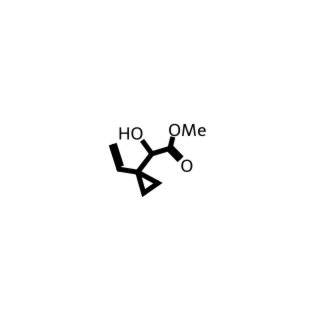 C=CC1(C(O)C(=O)OC)CC1